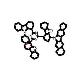 c1ccc(-n2c3ccccc3c3cccc(-c4nc(-c5cccc6c5sc5ccccc56)nc(-c5ccc(-n6c7cc8ccccc8cc7c7cc8ccccc8cc76)c6oc7ccccc7c56)n4)c32)cc1